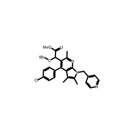 COC(=O)C(OC(C)(C)C)c1c(C)nc2c(c(C)c(C)n2Cc2ccncc2)c1-c1ccc(Cl)cc1